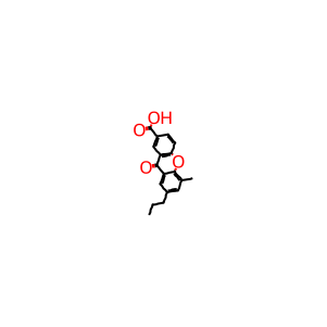 CCCc1cc(C)c2oc3ccc(C(=O)O)cc3c(=O)c2c1